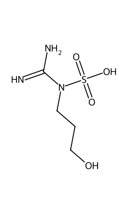 N=C(N)N(CCCO)S(=O)(=O)O